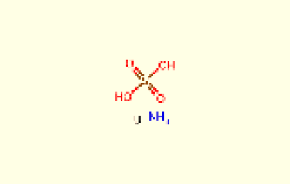 N.O=S(=O)(O)O.[U]